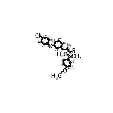 CCOc1ccc([Si](C)(C)/C(F)=C(/F)Cc2cccc(Oc3ccc(Cl)cc3)c2)cc1